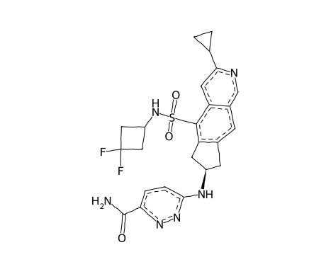 NC(=O)c1ccc(N[C@@H]2Cc3cc4cnc(C5CC5)cc4c(S(=O)(=O)NC4CC(F)(F)C4)c3C2)nn1